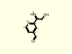 N=C(CO)c1cc(C=O)ccn1